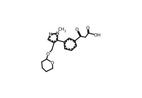 Cn1ncc(COC2CCCCO2)c1-c1cccc(C(=O)CC(=O)O)c1